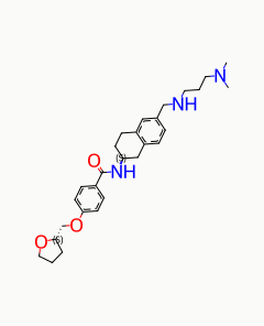 CN(C)CCCNCc1ccc2c(c1)CC[C@H](NC(=O)c1ccc(OC[C@@H]3CCCO3)cc1)C2